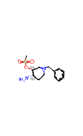 CS(=O)(=O)O[C@H]1CN(Cc2ccccc2)CC[C@@H]1N